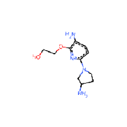 Nc1ccc(N2CCC(N)C2)nc1OCCO